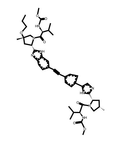 CCCO[C@@]1(C)C[C@@H](c2nc3ccc(C#Cc4ccc(-c5cnc([C@@H]6C[C@H](C)CN6C(=O)[C@@H](NC(=O)OC)C(C)C)[nH]5)cc4)cc3[nH]2)N(C(=O)[C@@H](NC(=O)OC)C(C)C)C1